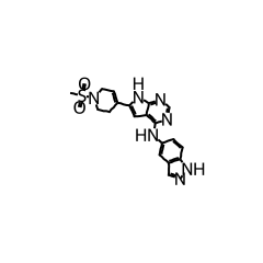 CS(=O)(=O)N1CC=C(c2cc3c(Nc4ccc5[nH]ncc5c4)ncnc3[nH]2)CC1